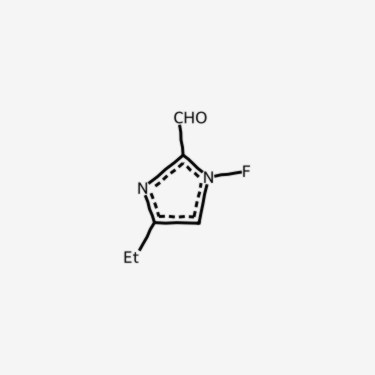 CCc1cn(F)c(C=O)n1